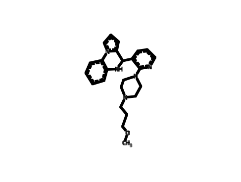 COCCCN1CCN(c2ncccc2C2Nc3ccccc3-n3cccc32)CC1